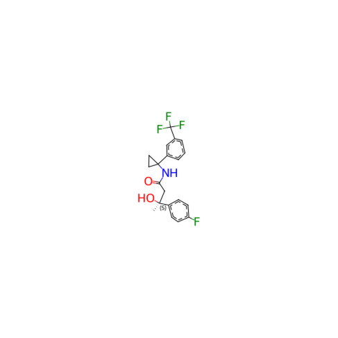 C[C@](O)(CC(=O)NC1(c2cccc(C(F)(F)F)c2)CC1)c1ccc(F)cc1